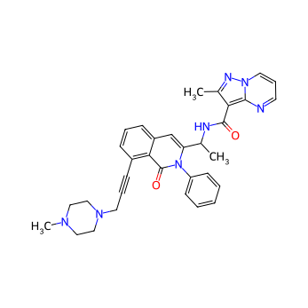 Cc1nn2cccnc2c1C(=O)NC(C)c1cc2cccc(C#CCN3CCN(C)CC3)c2c(=O)n1-c1ccccc1